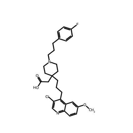 COc1ccc2ncc(Cl)c(CCCC3(CC(=O)O)CCN(CCCc4ccc(F)cc4)CC3)c2c1